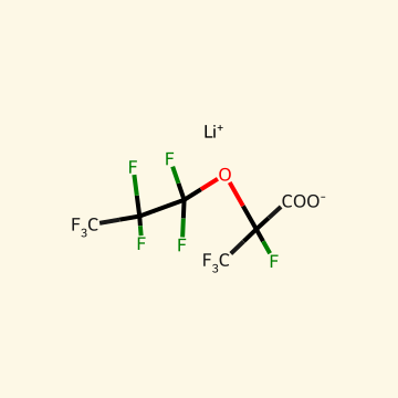 O=C([O-])C(F)(OC(F)(F)C(F)(F)C(F)(F)F)C(F)(F)F.[Li+]